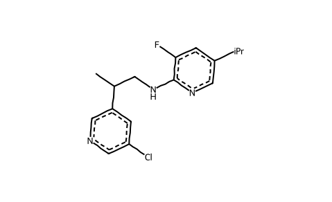 CC(C)c1cnc(NCC(C)c2cncc(Cl)c2)c(F)c1